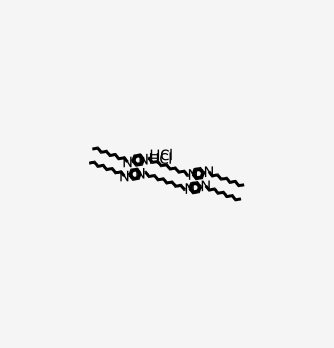 CCCCCCCCN=c1ccn(CCCCCCCCCCn2ccc(=NCCCCCCCC)cc2)cc1.CCCCCCCCN=c1ccn(CCCCCCCCCCn2ccc(=NCCCCCCCC)cc2)cc1.Cl.Cl